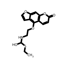 CCSC(O)NCCOc1c2ccoc2cc2oc(=O)ccc12